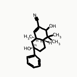 CC1(C)C(O)C(C#N)=C[C@]2(C)C[C@](O)(c3ccccc3)CC[C@@H]12